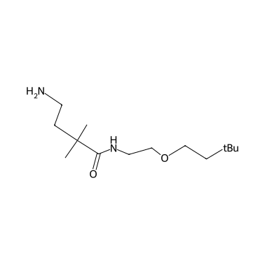 CC(C)(C)CCOCCNC(=O)C(C)(C)CCN